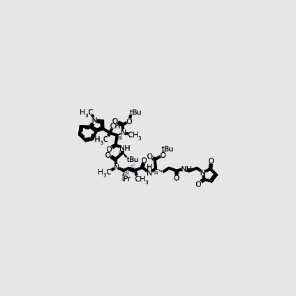 C/C(=C\[C@H](C(C)C)N(C)C(=O)[C@@H](NC(=O)[C@@H](N(C)C(=O)OC(C)(C)C)C(C)(C)c1cn(C)c2ccccc12)C(C)(C)C)C(=O)N[C@@H](CCC(=O)NCCN1C(=O)C=CC1=O)C(=O)OC(C)(C)C